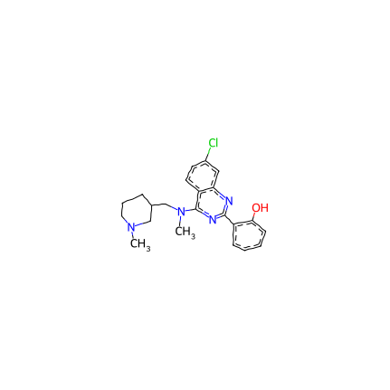 CN1CCCC(CN(C)c2nc(-c3ccccc3O)nc3cc(Cl)ccc23)C1